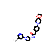 O=C(Cc1ccc(N2CCC3(CC2)OCCO3)cc1)N[C@@H]1CCN(c2cncc(C(F)(F)F)c2)C1